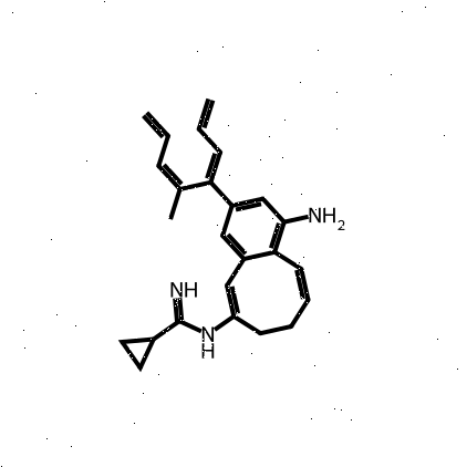 C=C/C=C(C)\C(=C/C=C)c1cc(N)c2c(c1)/C=C(/NC(=N)C1CC1)CC/C=C\2